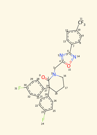 O=C1N(Cc2nc(-c3ccc(C(F)(F)F)cc3)no2)CCCC1(c1ccc(F)cc1)c1ccc(F)cc1